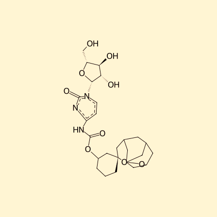 O=C(Nc1ccn([C@@H]2O[C@H](CO)[C@@H](O)[C@@H]2O)c(=O)n1)OC1CCC[C@]2(CC3CC4CC(C3)CC(C4)OO2)C1